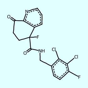 O=C1CCC(F)(C(=O)NCc2ccc(F)c(Cl)c2Cl)c2cccnc21